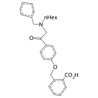 CCCCCCN(CC(=O)c1ccc(OCc2ccccc2C(=O)O)cc1)Cc1ccccc1